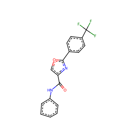 O=C(Nc1ccccc1)c1coc(-c2ccc(C(F)(F)F)cc2)n1